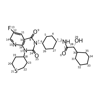 O=C(N[C@H]1CC[C@@H](n2c(=O)c3cc(F)cnc3n(C3CCSCC3)c2=O)CC1)[C@H](O)C1CCCCC1